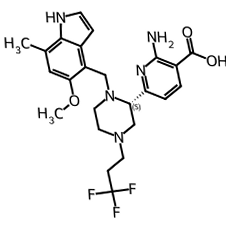 COc1cc(C)c2[nH]ccc2c1CN1CCN(CCC(F)(F)F)C[C@H]1c1ccc(C(=O)O)c(N)n1